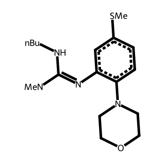 CCCCN/C(=N\c1cc(SC)ccc1N1CCOCC1)NC